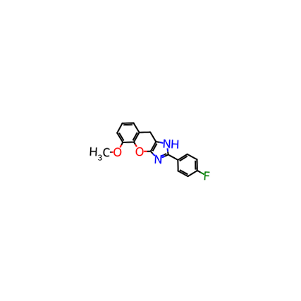 COc1cccc2c1Oc1nc(-c3ccc(F)cc3)[nH]c1C2